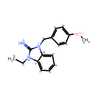 CBc1ccc(Cn2c(=N)n(CC)c3ccccc32)cc1